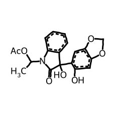 CC(=O)OC(C)N1C(=O)C(O)(c2cc3c(cc2O)OCO3)c2ccccc21